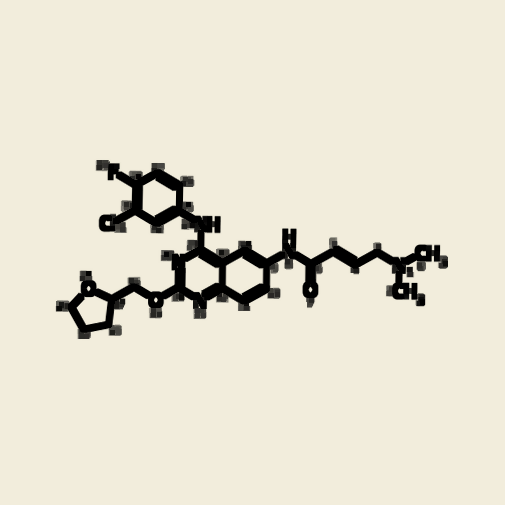 CN(C)CC=CC(=O)Nc1ccc2nc(OCC3CCCO3)nc(Nc3ccc(F)c(Cl)c3)c2c1